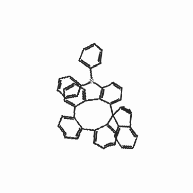 c1ccc(N(c2ccccc2)c2cccc3c2-c2ccccc2-c2ccccc2-c2ccccc2C32c3ccccc3-c3ccccc32)cc1